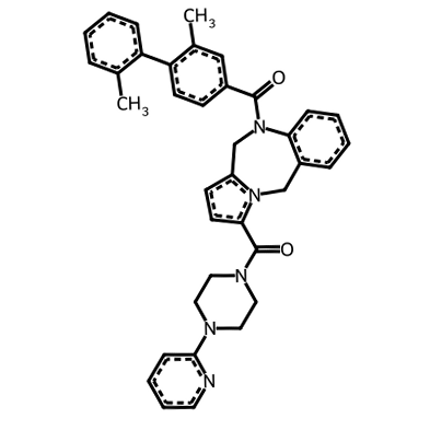 Cc1ccccc1-c1ccc(C(=O)N2Cc3ccc(C(=O)N4CCN(c5ccccn5)CC4)n3Cc3ccccc32)cc1C